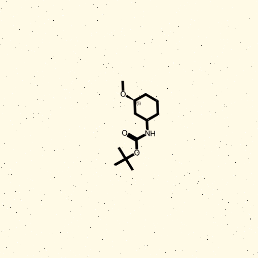 CO[C@H]1CCCC(NC(=O)OC(C)(C)C)C1